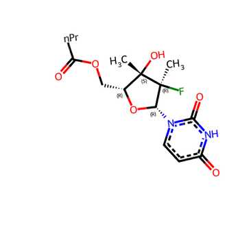 CCCC(=O)OC[C@H]1O[C@@H](n2ccc(=O)[nH]c2=O)[C@](C)(F)[C@@]1(C)O